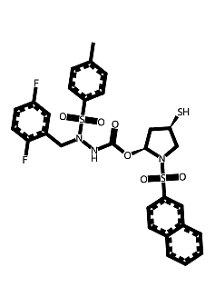 Cc1ccc(S(=O)(=O)N(Cc2cc(F)ccc2F)NC(=O)O[C@H]2C[C@@H](S)CN2S(=O)(=O)c2ccc3ccccc3c2)cc1